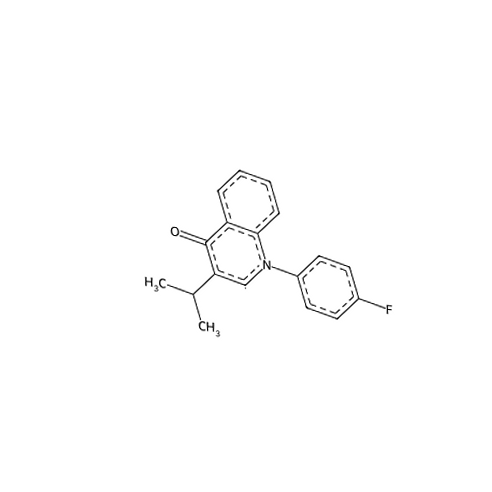 CC(C)c1[c]n(-c2ccc(F)cc2)c2ccccc2c1=O